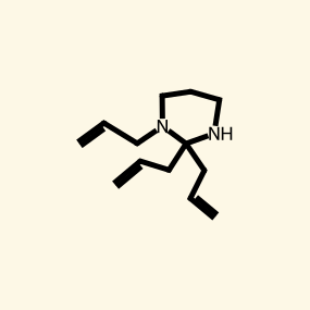 C=CCN1CCCNC1(CC=C)CC=C